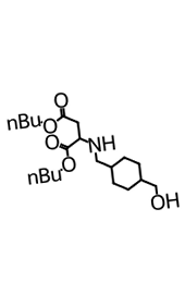 CCCCOC(=O)CC(NCC1CCC(CO)CC1)C(=O)OCCCC